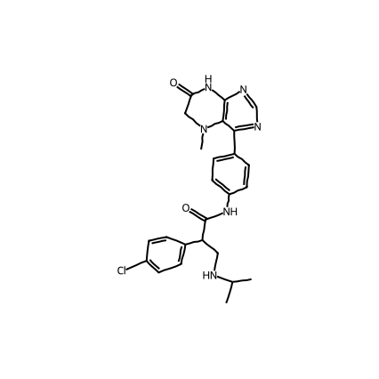 CC(C)NCC(C(=O)Nc1ccc(-c2ncnc3c2N(C)CC(=O)N3)cc1)c1ccc(Cl)cc1